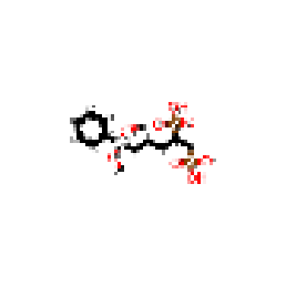 CO[Si](CCCC(CS(=O)(=O)O)S(=O)(=O)O)(OC)c1ccccc1